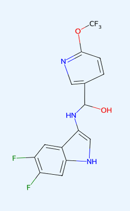 OC(Nc1c[nH]c2cc(F)c(F)cc12)c1ccc(OC(F)(F)F)nc1